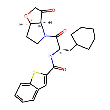 O=C(N[C@@H](CC1CCCCC1)C(=O)N1CC[C@H]2OCC(=O)[C@H]21)c1cc2ccccc2s1